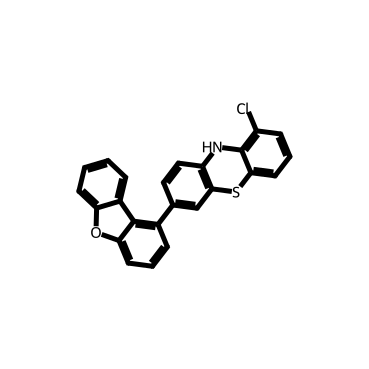 Clc1cccc2c1Nc1ccc(-c3cccc4oc5ccccc5c34)cc1S2